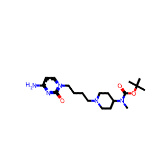 CN(C(=O)OC(C)(C)C)C1CCN(CCCCn2ccc(N)nc2=O)CC1